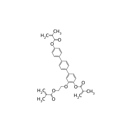 C=C(C)C(=O)OCCOc1cc(-c2ccc(-c3ccc(OC(=O)C(=C)C)cc3)cc2)ccc1OC(=O)C(=C)C